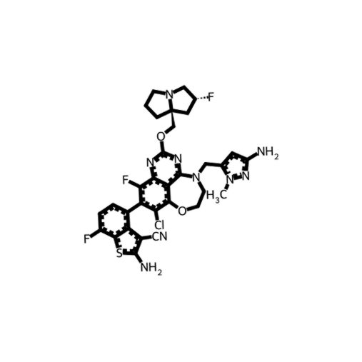 Cn1nc(N)cc1CN1CCOc2c(Cl)c(-c3ccc(F)c4sc(N)c(C#N)c34)c(F)c3nc(OC[C@@]45CCCN4C[C@H](F)C5)nc1c23